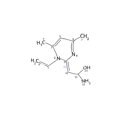 C=CN1C(C)=CC(C)=N/C1=C\C(N)O